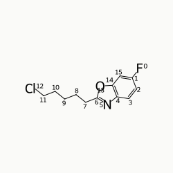 Fc1ccc2nc(CCCCCCl)oc2c1